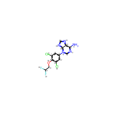 Nc1ncn(-c2cc(Cl)c(OCC(F)F)c(Cl)c2)c2ncnc1-2